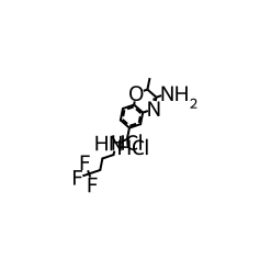 CC1Oc2ccc(CNCCCC(F)(F)F)cc2N=C1N.Cl.Cl